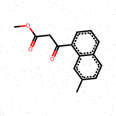 COC(=O)CC(=O)c1cccc2ccc(C)cc12